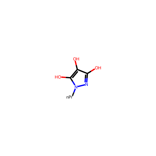 CCCn1nc(O)c(O)c1O